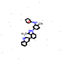 Cc1nn(-c2ccc(C#N)c(NC3CC4CCC3O4)c2)c2cccc(-c3cnc4ccccc4c3)c12